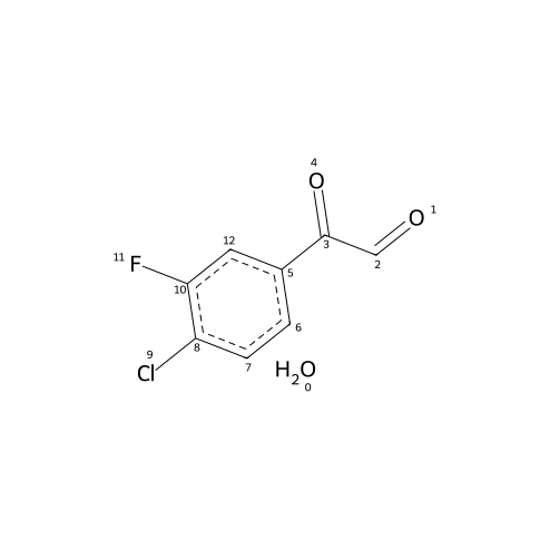 O.O=CC(=O)c1ccc(Cl)c(F)c1